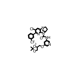 CC1(C)OCC(COc2cncc(NC(=O)N3c4nc(-c5cccc(C(F)(F)F)c5)c(Cl)cc4N4CCC3C4)c2)O1